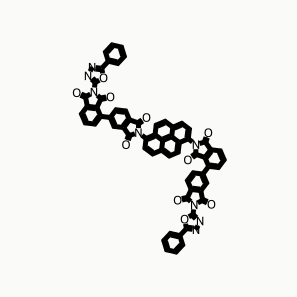 O=C1c2ccc(-c3cccc4c3C(=O)N(c3ccc5ccc6c(N7C(=O)c8ccc(-c9cccc%10c9C(=O)N(c9nnc(-c%11ccccc%11)o9)C%10=O)cc8C7=O)ccc7ccc3c5c76)C4=O)cc2C(=O)N1c1nnc(-c2ccccc2)o1